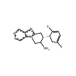 NC1Cn2c(nc3cnncc32)C[C@@H]1C1CC(F)=CC=C1F